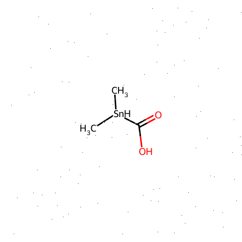 [CH3][SnH]([CH3])[C](=O)O